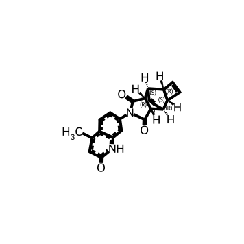 Cc1cc(=O)[nH]c2cc(N3C(=O)[C@@H]4[C@@H]5C=C[C@@H]([C@H]6C=C[C@H]65)[C@@H]4C3=O)ccc12